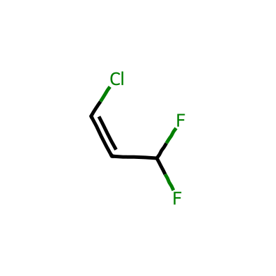 FC(F)/C=C\Cl